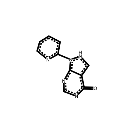 O=c1ncnc2n(-c3ccccn3)[nH]cc1-2